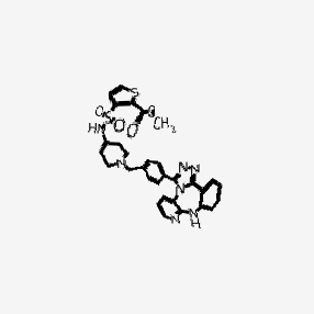 COC(=O)c1sccc1S(=O)(=O)NC1CCN(Cc2ccc(-c3nnc4n3-c3cccnc3Nc3ccccc3-4)cc2)CC1